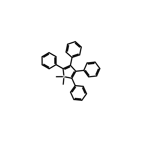 CS1(C)C(c2ccccc2)=C(c2ccccc2)C(c2ccccc2)=C1c1ccccc1